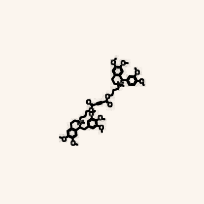 COc1ccc(C2c3cc(OC)c(OC)cc3CC[N+]2(C)CCCOC(=O)C#CC(=O)OCCC[N+]2(C)CCc3cc(OC)c(OC)cc3C2Cc2cc(OC)c(OC)c(OC)c2)cc1OC